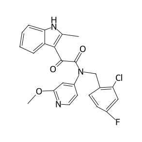 COc1cc(N(Cc2ccc(F)cc2Cl)C(=O)C(=O)c2c(C)[nH]c3ccccc23)ccn1